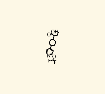 CCC(C(=O)O)C1CCC(c2ccnc(OC(F)F)c2)CC1